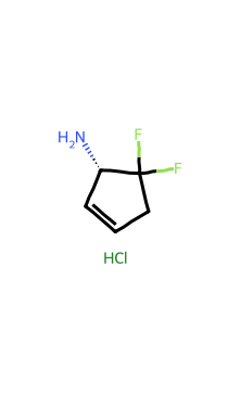 Cl.N[C@H]1C=CCC1(F)F